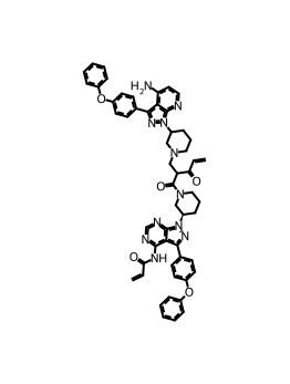 C=CC(=O)Nc1ncnc2c1c(-c1ccc(Oc3ccccc3)cc1)nn2[C@@H]1CCCN(C(=O)C(CN2CCCC(n3nc(-c4ccc(Oc5ccccc5)cc4)c4c(N)ccnc43)C2)C(=O)C=C)C1